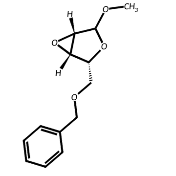 COC1O[C@H](COCc2ccccc2)[C@@H]2O[C@H]12